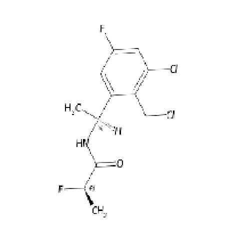 [2H][C@@](C)(NC(=O)[C@@H](C)F)c1cc(F)cc(Cl)c1CCl